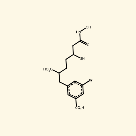 O=C(CC(S)CCC(Cc1cc(Br)cc(C(=O)O)c1)C(=O)O)NO